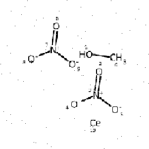 CO.O=[N+]([O-])[O-].O=[N+]([O-])[O-].[Ce]